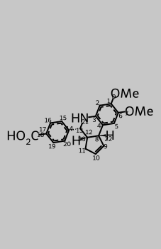 COc1cc2c(cc1OC)[C@@H]1C=CC[C@@H]1[C@H](c1ccc(C(=O)O)cc1)N2